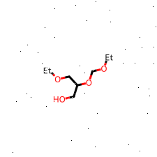 CCOCOC(CO)COCC